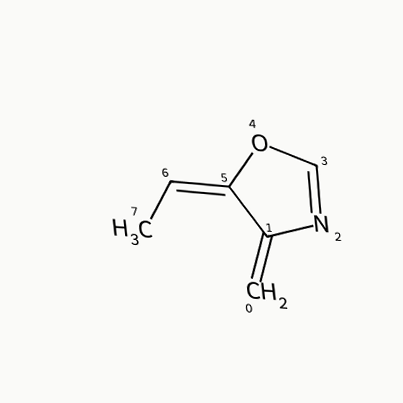 C=c1nco/c1=C/C